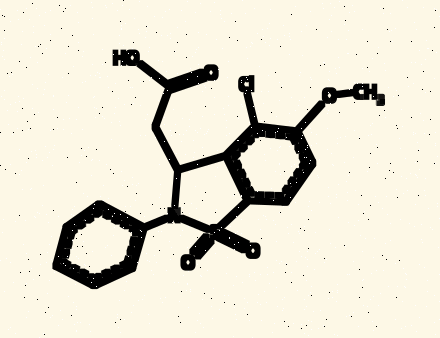 COc1ccc2c(c1Cl)C(CC(=O)O)N(c1ccccc1)S2(=O)=O